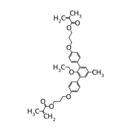 C=C(C)C(=O)OCCCOc1ccc(-c2cc(C)cc(-c3ccc(OCCCOC(=O)C(=C)C)cc3)c2OCC)cc1